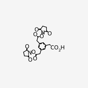 O=C(O)Cc1cc(CC(=O)ON2C(=O)CCC2=O)cc(CC(=O)ON2C(=O)CCC2=O)c1